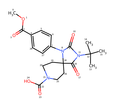 COC(=O)c1ccc(N2C(=O)N(C(C)(C)C)C(=O)C23CCN(C(=O)O)CC3)cc1